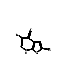 CCc1cc2c(=O)c(C#N)c[nH]c2s1